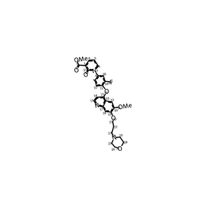 COC(=O)c1cccn(-c2ccc(Oc3ccnc4cc(OCCCN5CCOCC5)c(OC)cc34)c(F)c2)c1=O